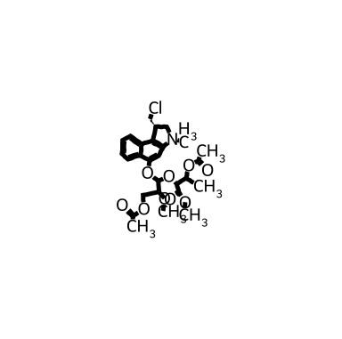 COC(=O)C(OC(Oc1cc2c(c3ccccc13)[C@H](CCl)CN2C)C(COC(C)=O)OC)C(C)OC(C)=O